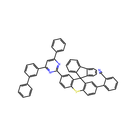 N#Cc1ccccc1-c1ccc2c(c1)C1(c3cc(-c4nc(-c5ccccc5)cc(-c5cccc(-c6ccccc6)c5)n4)ccc3S2)c2ccccc2-c2ccccc21